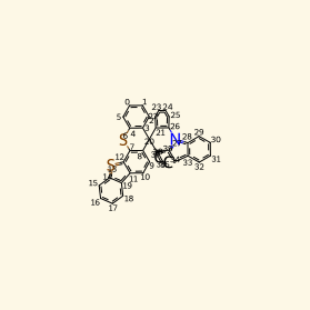 c1ccc2c(c1)Sc1c(ccc3c1sc1ccccc13)C21c2ccccc2-n2c3ccccc3c3cccc1c32